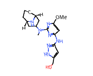 COc1cc(Nc2cc(CO)[nH]n2)nc(N(C)C2C[C@H]3CCC[C@@H](C2)N3)n1